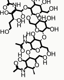 CC(=O)N/C(=C(\O)[C@H](O)CCO)[C@@H](O)OC1C(O)[C@H](O)C(CO)O[C@@H]1OCC1O[C@@H](O[C@@H]2C(CO)O[C@@H](O[C@@H]3C(CO)O[C@@H](C)C(NC(C)=O)C3O)C(NC(C)=O)C2O)C(O)C(O)[C@@H]1O